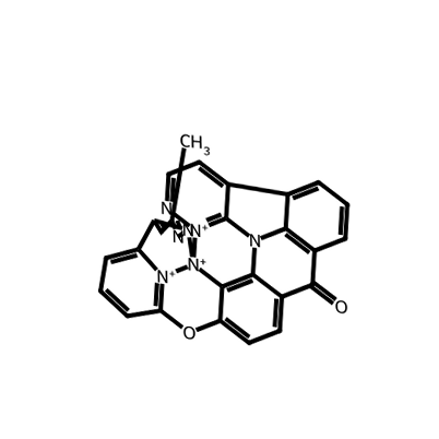 Cc1cc2n(n1)[N+]13c4c(ccc5c(=O)c6cccc7c8ccn[n+]1c8n(c45)c67)Oc1cccc-2[n+]13